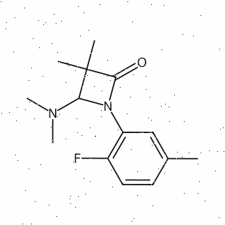 Cc1ccc(F)c(N2C(=O)C(C)(C)C2N(C)C)c1